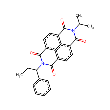 CCC(c1ccccc1)N1C(=O)c2ccc3c4c(ccc(c24)C1=O)C(=O)N(C(C)C)C3=O